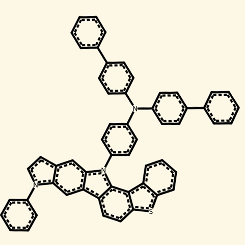 c1ccc(-c2ccc(N(c3ccc(-c4ccccc4)cc3)c3ccc(-n4c5cc6ccn(-c7ccccc7)c6cc5c5ccc6sc7ccccc7c6c54)cc3)cc2)cc1